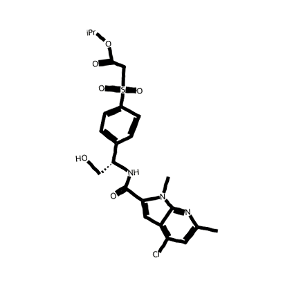 Cc1cc(Cl)c2cc(C(=O)N[C@H](CO)c3ccc(S(=O)(=O)CC(=O)OC(C)C)cc3)n(C)c2n1